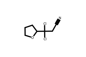 N#CCC(Cl)(Cl)C1CCCO1